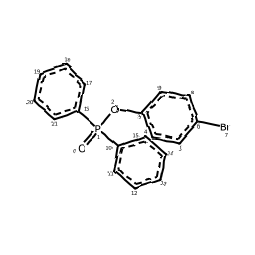 O=P(Oc1ccc(Br)cc1)(c1ccccc1)c1ccccc1